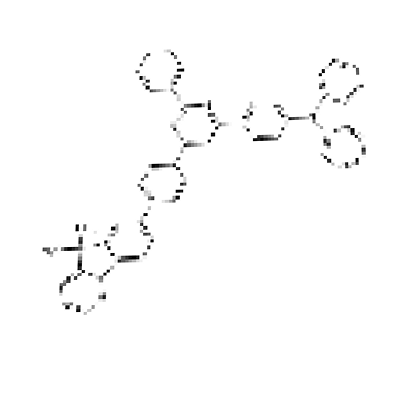 CC1(C)c2ccccc2-c2ccc(-c3ccc(-c4cc(-c5ccc(-n6c7ccccc7c7ccccc76)cc5)nc(-c5ccccc5)n4)cc3)cc21